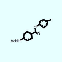 CC(=O)Nc1ccc(C(=O)Oc2ccc(C)cc2)cc1